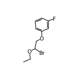 CCOC(Br)COc1cccc(F)c1